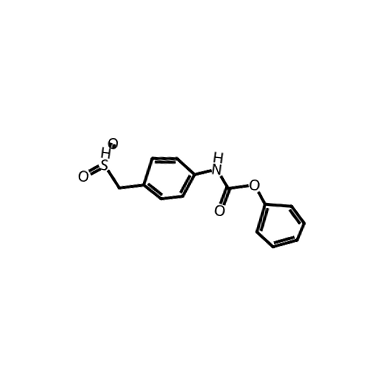 O=C(Nc1ccc(C[SH](=O)=O)cc1)Oc1ccccc1